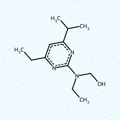 CCc1cc(C(C)C)nc(N(CC)CO)n1